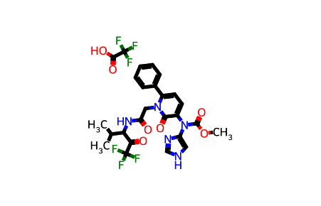 COC(=O)N(c1c[nH]cn1)c1ccc(-c2ccccc2)n(CC(=O)NC(C(=O)C(F)(F)F)C(C)C)c1=O.O=C(O)C(F)(F)F